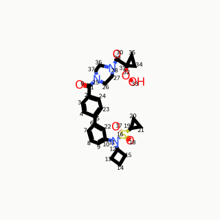 O=C(c1ccc(-c2cccc(N(C3CCC3)S(=O)(=O)C3CC3)c2)cc1)N1CCN(C(=O)C2(OO)CC2)CC1